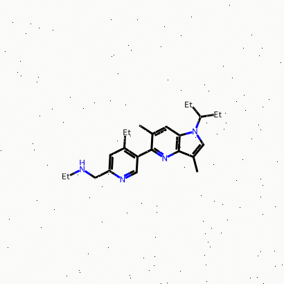 CCNCc1cc(CC)c(-c2nc3c(C)cn(C(CC)CC)c3cc2C)cn1